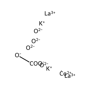 O=C([O-])[O-].[Co+2].[K+].[K+].[La+3].[La+3].[O-2].[O-2].[O-2].[O-2]